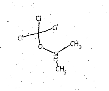 C[SiH](C)OC(Cl)(Cl)Cl